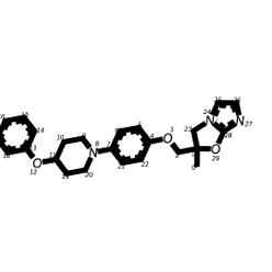 CC1(COc2ccc(N3CCC(Oc4ccccc4)CC3)cc2)Cn2ccnc2O1